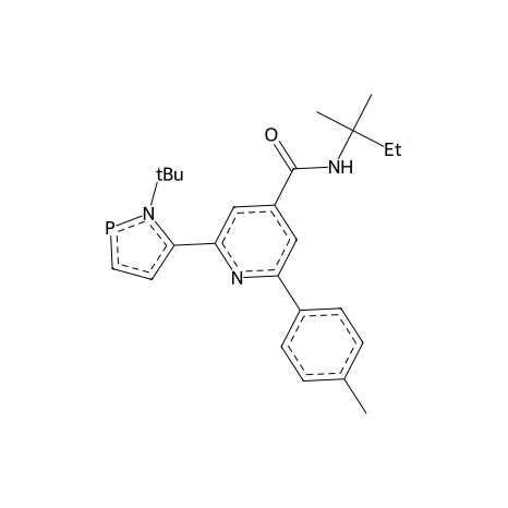 CCC(C)(C)NC(=O)c1cc(-c2ccc(C)cc2)nc(-c2ccpn2C(C)(C)C)c1